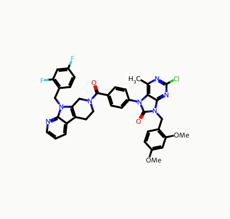 COc1ccc(Cn2c(=O)n(-c3ccc(C(=O)N4CCc5c(n(Cc6ccc(F)cc6F)c6ncccc56)C4)cc3)c3c(C)nc(Cl)nc32)c(OC)c1